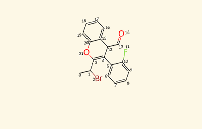 CC(Br)C1=C(c2ccccc2F)C(C=O)c2ccccc2O1